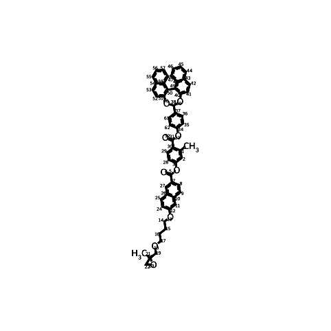 Cc1cc(OC(=O)c2ccc3cc(OCCCCOCC4(C)CO4)ccc3c2)ccc1C(=O)Oc1ccc(C2Oc3ccc4ccccc4c3-c3c(ccc4ccccc34)O2)cc1